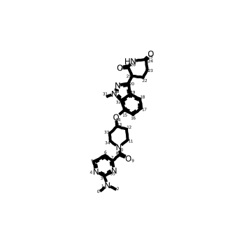 CN(C)c1nccc(C(=O)N2CCC(Oc3cccc4c(C5CCC(=O)NC5=O)nn(C)c34)CC2)n1